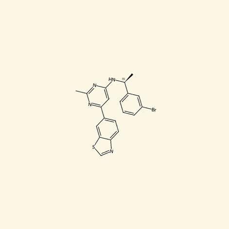 Cc1nc(N[C@@H](C)c2cccc(Br)c2)cc(-c2ccc3ncsc3c2)n1